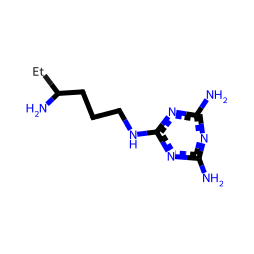 CCC(N)CCCNc1nc(N)nc(N)n1